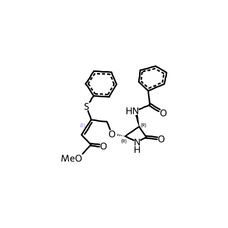 COC(=O)/C=C(\CO[C@H]1NC(=O)[C@@H]1NC(=O)c1ccccc1)Sc1ccccc1